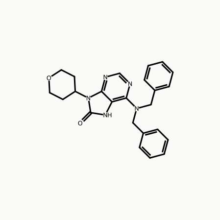 O=c1[nH]c2c(N(Cc3ccccc3)Cc3ccccc3)ncnc2n1C1CCOCC1